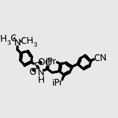 CC(C)c1cc(-c2ccc(C#N)cc2)cc(C(C)C)c1CC(=O)NS(=O)(=O)c1ccc(CN(C)C)cc1